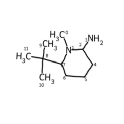 CN1C(N)CCCC1C(C)(C)C